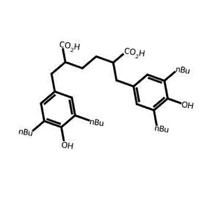 CCCCc1cc(CC(CCC(Cc2cc(CCCC)c(O)c(CCCC)c2)C(=O)O)C(=O)O)cc(CCCC)c1O